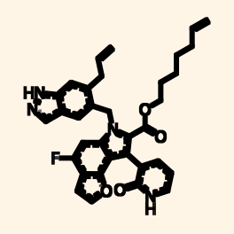 C=CCCCCCOC(=O)c1c(-c2ccc[nH]c2=O)c2c3occc3c(F)cc2n1Cc1cc2cn[nH]c2cc1CC=C